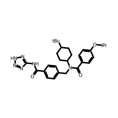 CC(C)Oc1ccc(C(=O)N(Cc2ccc(C(=O)Nc3nn[nH]n3)cc2)C2CCC(C(C)(C)C)CC2)cc1